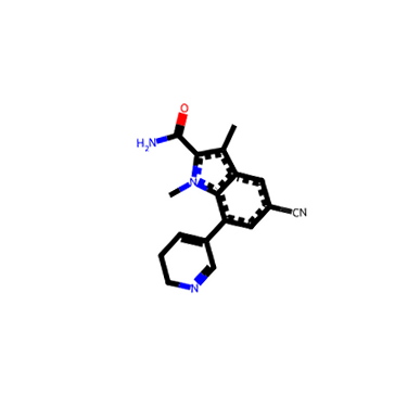 Cc1c(C(N)=O)n(C)c2c(C3=CCCN=C3)cc(C#N)cc12